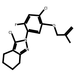 C=C(C)COc1cc(-n2nc3c(c2Cl)CCCC3)c(F)cc1Cl